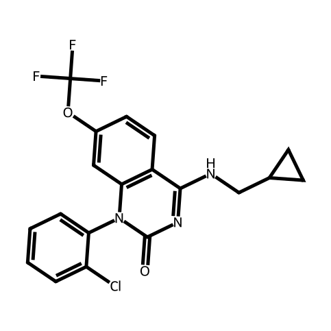 O=c1nc(NCC2CC2)c2ccc(OC(F)(F)F)cc2n1-c1ccccc1Cl